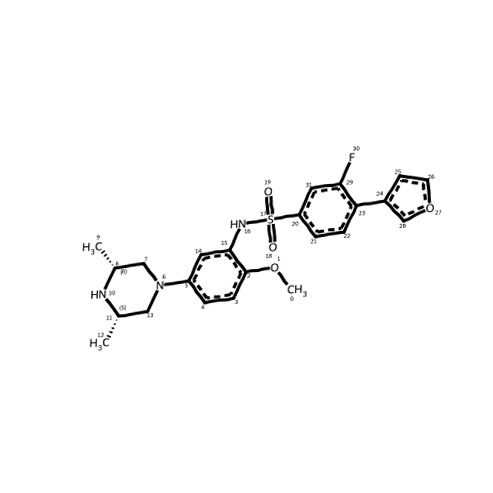 COc1ccc(N2C[C@@H](C)N[C@@H](C)C2)cc1NS(=O)(=O)c1ccc(-c2ccoc2)c(F)c1